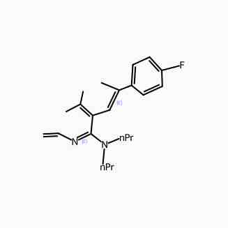 C=C/N=C(\C(/C=C(\C)c1ccc(F)cc1)=C(C)C)N(CCC)CCC